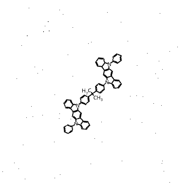 CC(C)(c1ccc(-n2c3ccccc3c3cc4c(cc32)C2C=CC=CC2N4c2ccccc2)cc1)c1ccc(-n2c3ccccc3c3cc4c(cc32)c2ccccc2n4-c2ccccc2)cc1